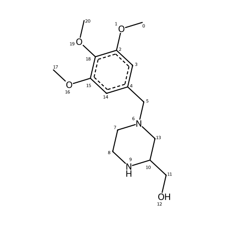 COc1cc(CN2CCNC(CO)C2)cc(OC)c1OC